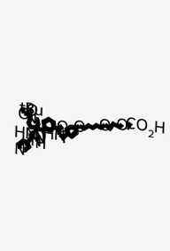 C[C@@H](NC(=O)c1cccc(NC2(c3nnc(-c4ccncc4)[nH]3)CCN(C(=O)OC(C)(C)C)CC2)c1)c1ccc(OCCCCCOCCCOCC(=O)O)cc1